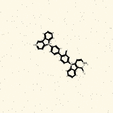 Cc1cc(-n2c(/C=C\N)c(CF)c3ccccc32)ccc1-c1ccc(-n2c3ccccc3c3cnccc32)cc1